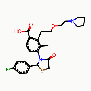 Cc1c(N2C(=O)CSC2c2ccc(F)cc2)ccc(C(=O)O)c1CCOCCN1CCCC1